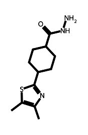 Cc1nc(C2CCC(C(=O)NN)CC2)sc1C